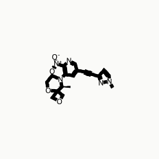 C[C@@H]1N(c2cc(C#Cc3ccn(C)n3)cnc2[N+](=O)[O-])CCOC12COC2